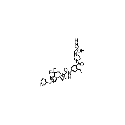 CCc1cc(NC(=O)c2ncc(-c3cn(Cc4cccnc4)nc3C(F)(F)F)n2C)ccc1C(=O)N1CCN(CC2(O)CNC2)CC1